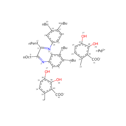 CCCCCCCCC(=Nc1ccc(CCCC)c(CCCC)c1)C(CCCCC)=Nc1ccc(CCCC)c(CCCC)c1.Cc1ccc(O)c(O)c1C(=O)[O-].Cc1ccc(O)c(O)c1C(=O)[O-].[Pd+2]